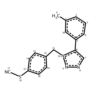 Cc1cccc(-c2cnnn2Cc2ccc(SC#N)cc2)c1